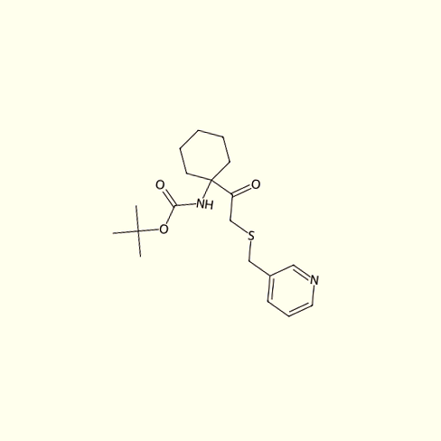 CC(C)(C)OC(=O)NC1(C(=O)CSCc2cccnc2)CCCCC1